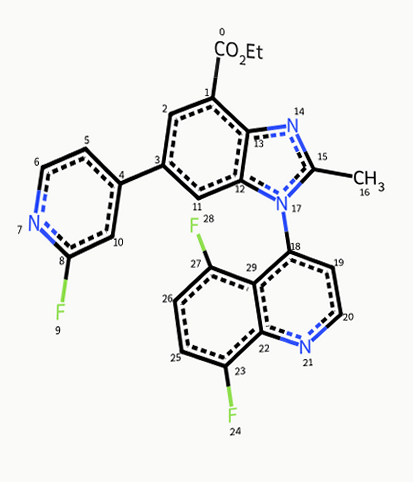 CCOC(=O)c1cc(-c2ccnc(F)c2)cc2c1nc(C)n2-c1ccnc2c(F)ccc(F)c12